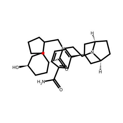 NC(=O)c1cccc([C@H]2C[C@H]3CC[C@@H](C2)N3CCN(CC2CCCC2)C(=O)[C@H]2CC[C@H](O)CC2)c1